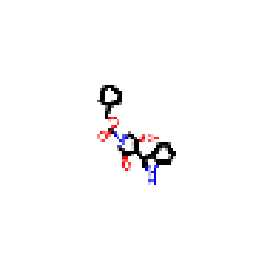 O=C1CN(C(=O)OCc2ccccc2)CC(O)=C1c1c[nH]c2ccccc12